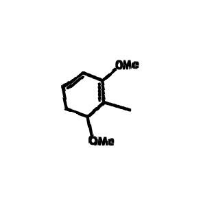 COC1=C(C)C(OC)CC=C1